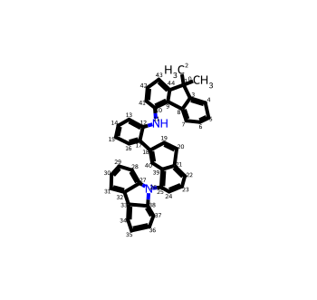 CC1(C)c2ccccc2-c2c(Nc3ccccc3-c3ccc4cccc(-n5c6ccccc6c6ccccc65)c4c3)cccc21